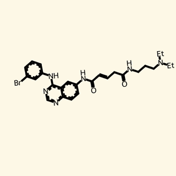 CCN(CC)CCCNC(=O)C/C=C/C(=O)Nc1ccc2ncnc(Nc3cccc(Br)c3)c2c1